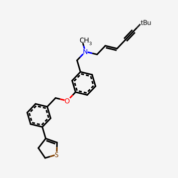 CN(CC=CC#CC(C)(C)C)Cc1cccc(OCc2cccc(C3=CSCC3)c2)c1